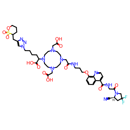 N#C[C@@H]1CC(F)(F)CN1C(=O)CNC(=O)c1ccnc2c(OCCCNC(=O)CN3CCN(CC(=O)O)CCN(C(CCCCn4cc(CC5CCCOS5(=O)=O)nn4)C(=O)O)CCN(CC(=O)O)CC3)cccc12